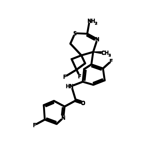 C[C@]1(c2cc(NC(=O)c3ccc(F)cn3)ccc2F)N=C(N)SCC12CC(F)(F)C2